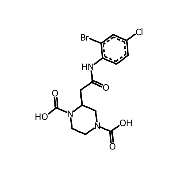 O=C(CC1CN(C(=O)O)CCN1C(=O)O)Nc1ccc(Cl)cc1Br